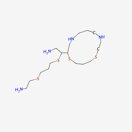 NCCSCCCSC(CN)C1CNCCCNCCSCCCS1